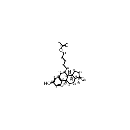 CC(=O)OCCCCC[C@@H]1Cc2cc(O)ccc2[C@H]2CC[C@]3(C)C(=O)CC[C@H]3[C@H]12